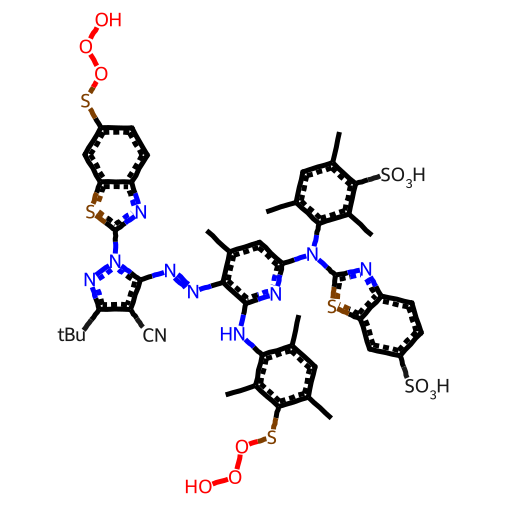 Cc1cc(N(c2nc3ccc(S(=O)(=O)O)cc3s2)c2c(C)cc(C)c(S(=O)(=O)O)c2C)nc(Nc2c(C)cc(C)c(SOOO)c2C)c1N=Nc1c(C#N)c(C(C)(C)C)nn1-c1nc2ccc(SOOO)cc2s1